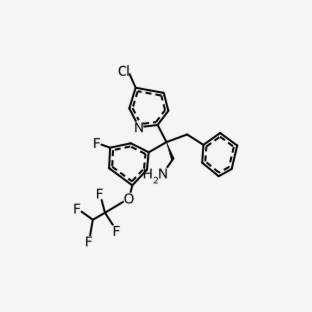 NC[C@@](Cc1ccccc1)(c1cc(F)cc(OC(F)(F)C(F)F)c1)c1ccc(Cl)cn1